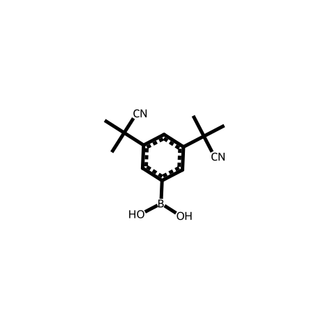 CC(C)(C#N)c1cc(B(O)O)cc(C(C)(C)C#N)c1